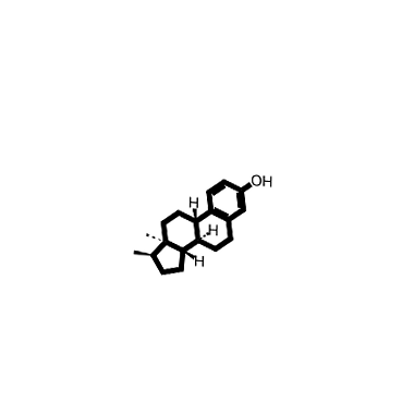 C[C@@H]1CC[C@H]2[C@@H]3CCc4cc(O)ccc4[C@H]3CC[C@]12C